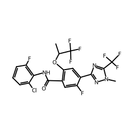 CC(Oc1cc(-c2nc(C(F)(F)F)n(C)n2)c(F)cc1C(=O)Nc1c(F)cccc1Cl)C(F)(F)F